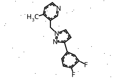 Cc1ccncc1Cn1ccc(-c2ccc(F)c(F)c2)n1